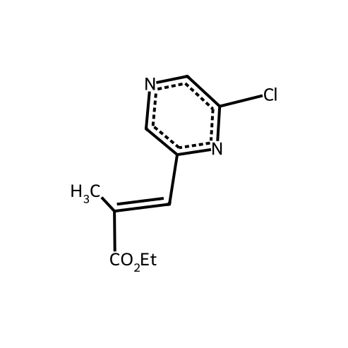 CCOC(=O)C(C)=Cc1cncc(Cl)n1